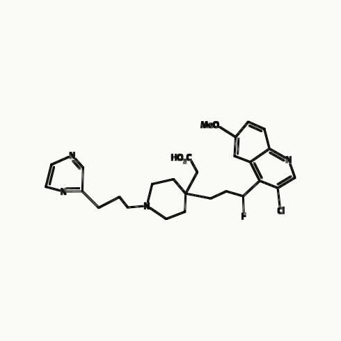 COc1ccc2ncc(Cl)c(C(F)CCC3(CC(=O)O)CCN(CCCc4cnccn4)CC3)c2c1